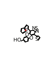 OCc1ccc(Oc2c(Oc3ccccc3)c(-c3cccs3)c3nsnc3c2-c2cccs2)cc1